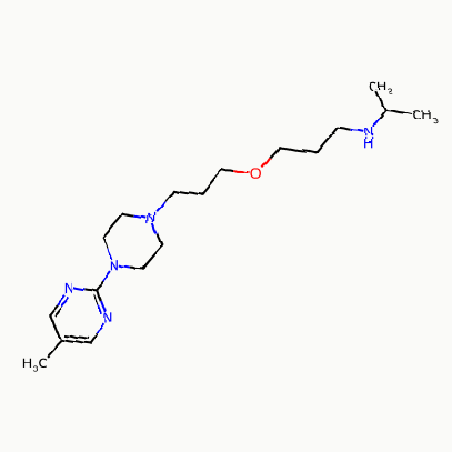 Cc1cnc(N2CCN(CCCOCCCNC(C)C)CC2)nc1